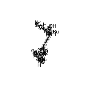 Cc1ncsc1-c1ccc(CNC(=O)[C@@H]2C[C@H](O)CN2C(=O)[C@@H](NC(=O)CCCCCCCCCCNC(=O)c2cc3c(cc2CS(C)(=O)=O)-c2cn(C)c(=O)c4[nH]cc(c24)CN3c2ncc(F)cc2F)C(C)(C)C)cc1